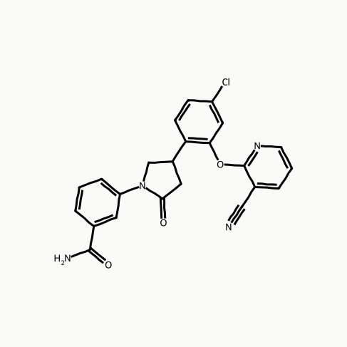 N#Cc1cccnc1Oc1cc(Cl)ccc1C1CC(=O)N(c2cccc(C(N)=O)c2)C1